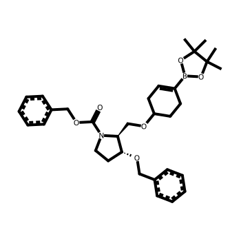 CC1(C)OB(C2=CCC(OC[C@H]3[C@H](OCc4ccccc4)CCN3C(=O)OCc3ccccc3)CC2)OC1(C)C